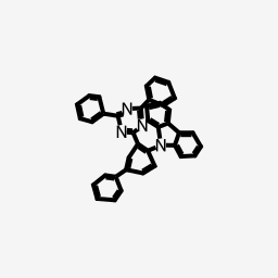 c1ccc(-c2ccc(-n3c4ccccc4c4ccccc43)c(-c3nc(-c4ccccc4)nc(-c4ccccc4)n3)c2)cc1